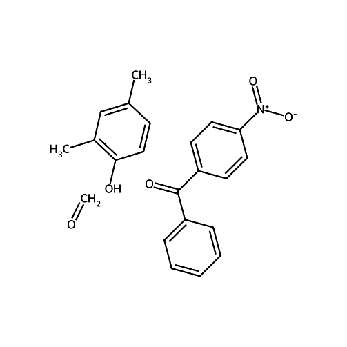 C=O.Cc1ccc(O)c(C)c1.O=C(c1ccccc1)c1ccc([N+](=O)[O-])cc1